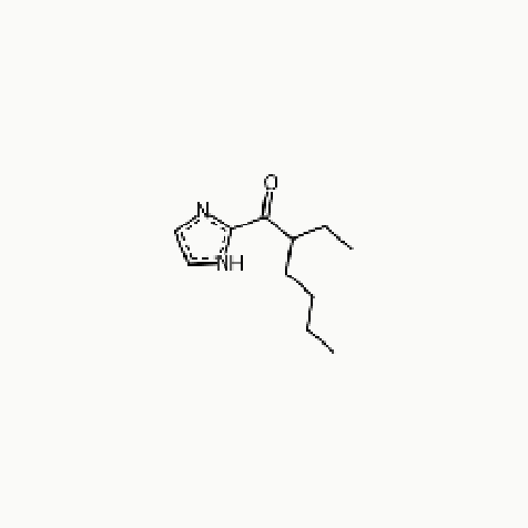 CCCCC(CC)C(=O)c1ncc[nH]1